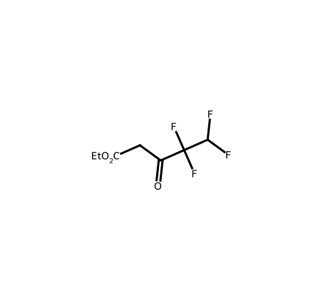 CCOC(=O)CC(=O)C(F)(F)C(F)F